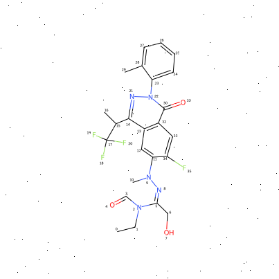 CCN(C=O)/C(CO)=N\N(C)c1cc2c(C(C)C(F)(F)F)nn(-c3ccccc3C)c(=O)c2cc1F